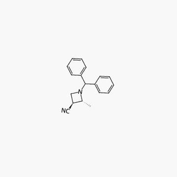 C[C@@H]1[C@@H](C#N)CN1C(c1ccccc1)c1ccccc1